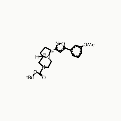 COc1cccc(-c2cc([C@H]3CC[C@H]4CN(C(=O)OC(C)(C)C)CCN43)no2)c1